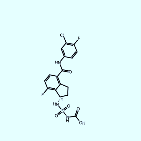 O=C(O)NS(=O)(=O)N[C@H]1CCc2c(C(=O)Nc3ccc(F)c(Cl)c3)ccc(F)c21